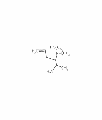 C=CCC(N)C(C)N.CC(=O)O